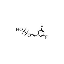 CC(C)(O)C(C)(C)O/C=C/c1cc(F)cc(F)c1